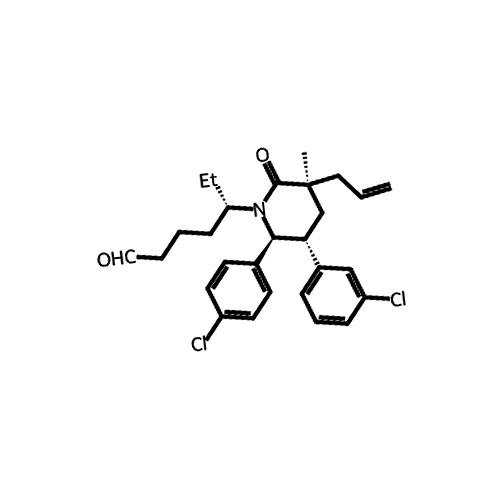 C=CC[C@@]1(C)C[C@H](c2cccc(Cl)c2)[C@@H](c2ccc(Cl)cc2)N([C@@H](CC)CCCC=O)C1=O